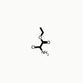 CCOC(=O)C(N)Cl